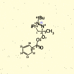 CC(C)CC(C)(/N=N/C(C)(C)C)OOC(=O)c1ccccc1